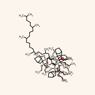 CCO[Si](OCC)(OCC)C1(S(SS)(SCC)C(CC(C)CCCC(C)CCCCC(C)CCCC(C)CCCC(C)C)=C(C(C)=C(S(SS)(SCC)C2([Si](OCC)(OCC)OCC)CC3CCC2C3)S(SS)(SCC)C2([Si](OCC)(OCC)OCC)CC3CCC2C3)S(SS)(SCC)C2([Si](OCC)(OCC)OCC)CC3CCC2C3)CC2CCC1C2